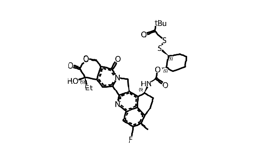 CC[C@@]1(O)C(=O)OCc2c1cc1n(c2=O)Cc2c-1nc1cc(F)c(C)c3c1c2[C@@H](NC(=O)O[C@H]1CCCC[C@@H]1SSC(=O)C(C)(C)C)CC3